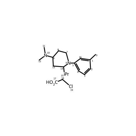 Cc1cccc(N2CCC(N(C)C)CC2C(C)C)c1.O=C(O)CCl